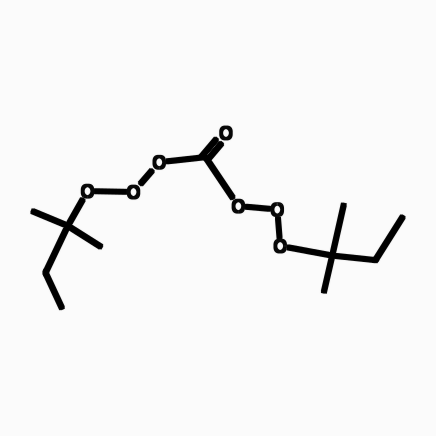 CCC(C)(C)OOOC(=O)OOOC(C)(C)CC